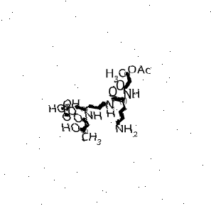 CC(=O)O[C@H](C)CC(=O)N[C@@H](CCCCN)C(=O)NCCC[C@H](COP(=O)(O)O)NC(=O)C[C@@H](C)O